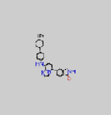 CC(C)C1CCC(c2ccc(Nc3ccc(-c4ccc5c(c4)CNC5=O)n4ccnc34)cc2)CC1